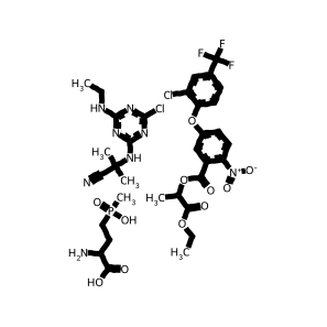 CCNc1nc(Cl)nc(NC(C)(C)C#N)n1.CCOC(=O)C(C)OC(=O)c1cc(Oc2ccc(C(F)(F)F)cc2Cl)ccc1[N+](=O)[O-].CP(=O)(O)CCC(N)C(=O)O